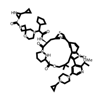 CCn1c(-c2cc(N3CCN(C4CC4)CC3)cnc2[C@H](C)OC)c2c3cc(ccc31)-c1csc(n1)C[C@H](NC(=O)C(C1CCCC1)N1CCOC3(CN(C(=O)[C@@H]4NC4C4CC4)C3)C1)C(=O)N1CCC[C@H](N1)C(=O)OCC(C)(C)C2